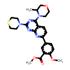 COC(=O)c1cc(-c2ccc3c(N4CCOCC4C)nc(N4CCSCC4)nc3n2)ccc1OC